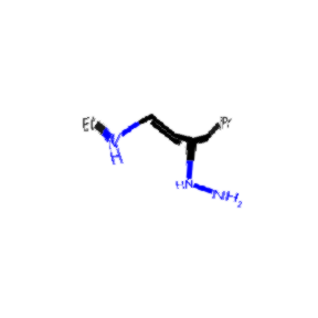 CCN/C=C(\NN)C(C)C